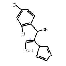 CCCC(C)/C=C(/C(O)c1ccc(Cl)cc1Cl)n1cncn1